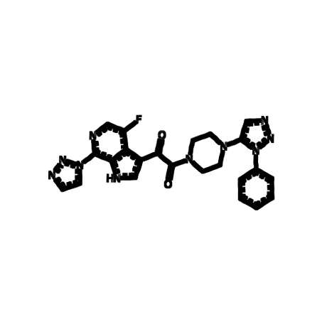 O=C(C(=O)N1CCN(c2cnnn2-c2ccccc2)CC1)c1c[nH]c2c(-n3ccnn3)ncc(F)c12